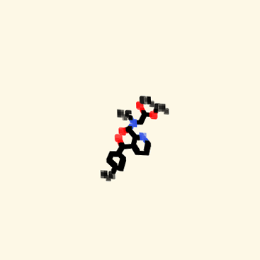 COC(CN(C)C(=O)c1ncccc1C(=O)c1ccc(C)cc1)OC